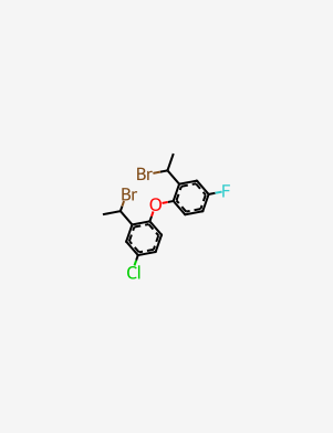 CC(Br)c1cc(F)ccc1Oc1ccc(Cl)cc1C(C)Br